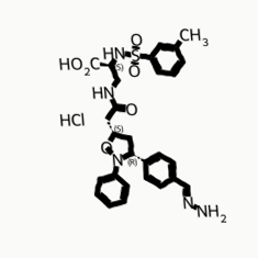 Cc1cccc(S(=O)(=O)N[C@@H](CNC(=O)C[C@@H]2C[C@H](c3ccc(C=NN)cc3)N(c3ccccc3)O2)C(=O)O)c1.Cl